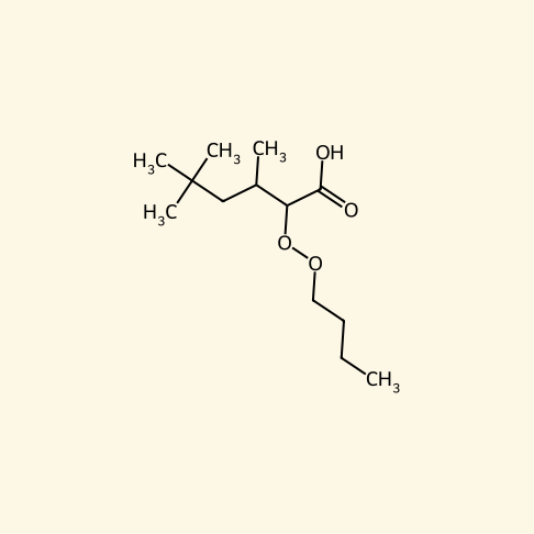 CCCCOOC(C(=O)O)C(C)CC(C)(C)C